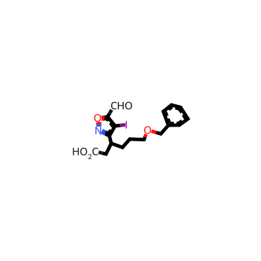 O=Cc1onc(C(CCCOCc2ccccc2)CC(=O)O)c1I